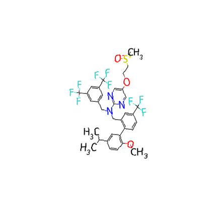 COc1ccc(C(C)C)cc1-c1ccc(C(F)(F)F)cc1CN(Cc1cc(C(F)(F)F)cc(C(F)(F)F)c1)c1ncc(OCC[S+](C)[O-])cn1